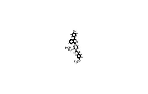 C[C@H]1CN(c2nnc(-c3ccc(C#N)cc3)c3ccccc23)CCN1C(=O)Nc1ccc(OC(F)(F)F)cc1.Cl